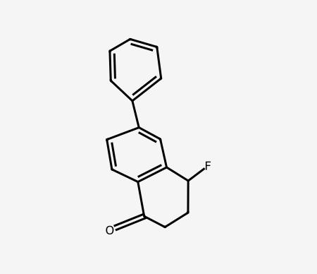 O=C1CCC(F)c2cc(-c3ccccc3)ccc21